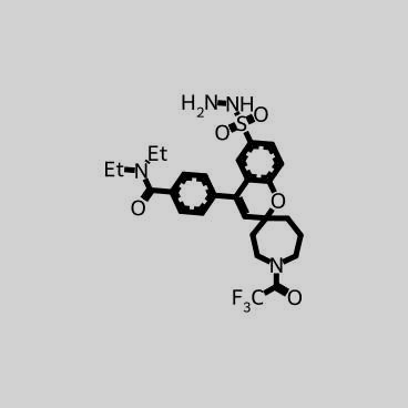 CCN(CC)C(=O)c1ccc(C2=CC3(CCCN(C(=O)C(F)(F)F)CC3)Oc3ccc(S(=O)(=O)NN)cc32)cc1